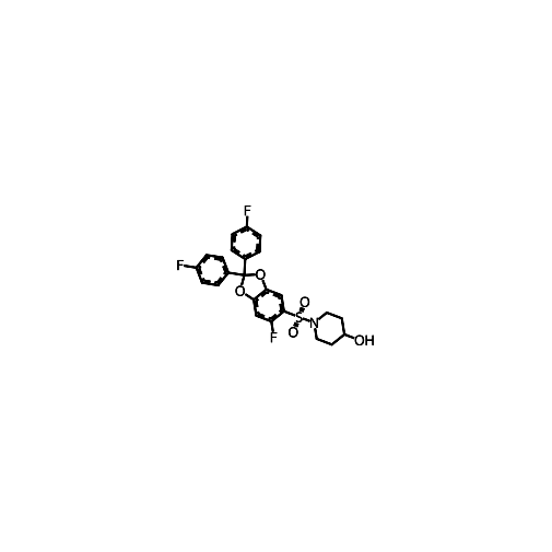 O=S(=O)(c1cc2c(cc1F)OC(c1ccc(F)cc1)(c1ccc(F)cc1)O2)N1CCC(O)CC1